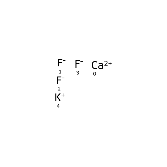 [Ca+2].[F-].[F-].[F-].[K+]